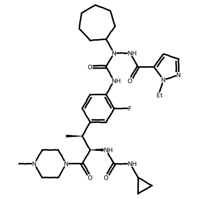 CCn1nccc1C(=O)NN(C(=O)Nc1ccc([C@H](C)[C@@H](NC(=O)NC2CC2)C(=O)N2CCN(C)CC2)cc1F)C1CCCCCC1